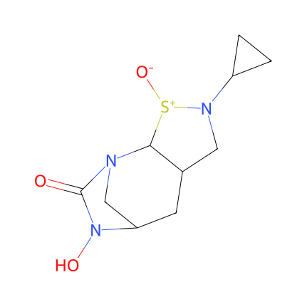 O=C1N(O)C2CC3CN(C4CC4)[S+]([O-])C3N1C2